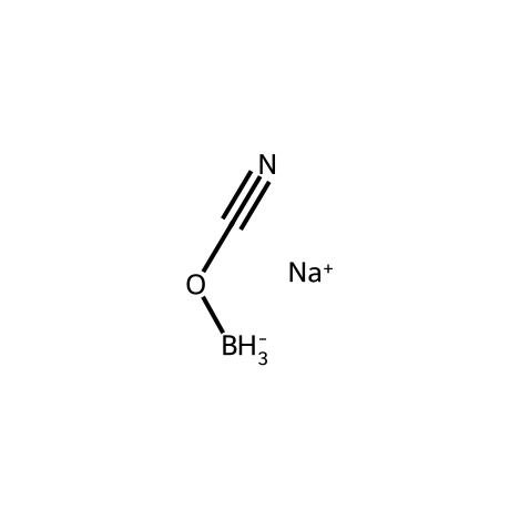 [BH3-]OC#N.[Na+]